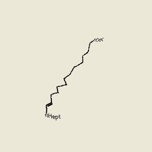 [CH2]CCCCCC/C=C/CCCCCCCCCCCCCCCCCCCC[CH2]